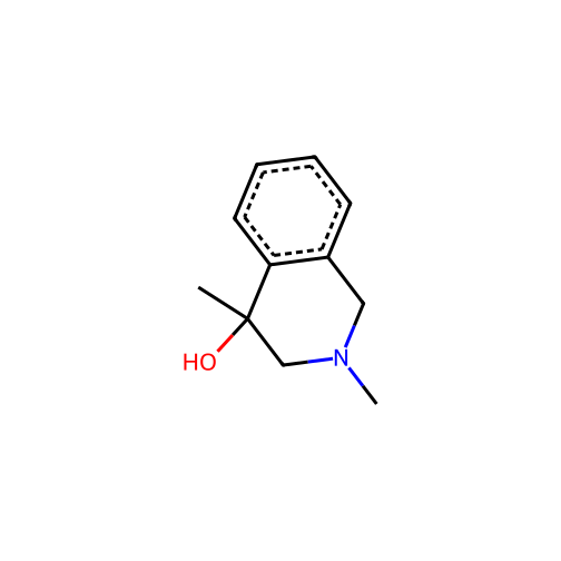 CN1Cc2ccccc2C(C)(O)C1